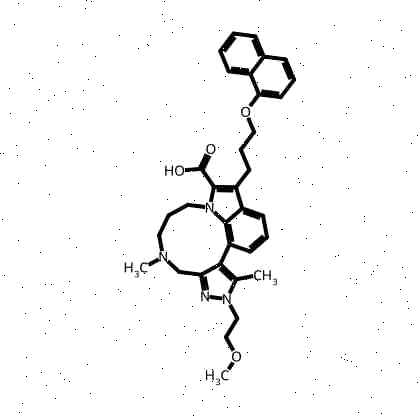 COCCn1nc2c(c1C)-c1cccc3c(CCCOc4cccc5ccccc45)c(C(=O)O)n(c13)CCCN(C)C2